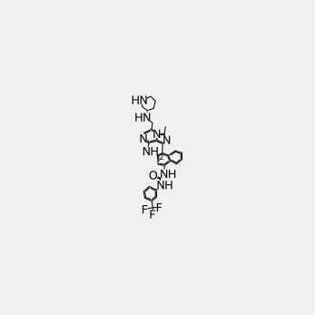 Cc1nc(-c2ccc(NC(=O)Nc3cccc(C(F)(F)F)c3)c3ccccc23)c2c(N)ncc(CN[C@H]3CCCNC3)n12